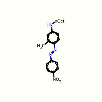 CCCCCCCCNc1ccc(/N=N/c2ccc([N+](=O)[O-])cc2)c(C)c1